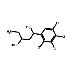 CC(CC(CN)C(=O)O)c1cc(Cl)c(Cl)c(Cl)c1Cl